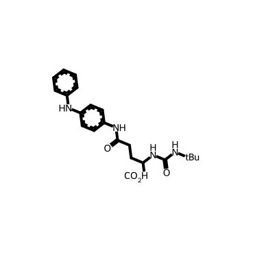 CC(C)(C)NC(=O)NC(CCC(=O)Nc1ccc(Nc2ccccc2)cc1)C(=O)O